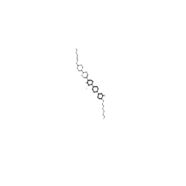 CCCCCCCCc1ccc(-c2ccc(-c3ccc(C4=CCC(C5CCC(CCCCCCC)CC5)CC4)c(F)c3F)cc2)c(F)c1F